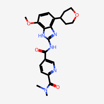 COc1ccc(C2CCOCC2)c2nc(NC(=O)c3ccc(C(=O)N(C)C)nc3)[nH]c12